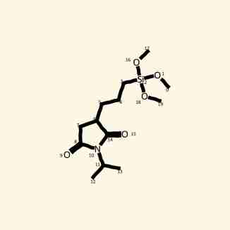 CO[Si](CCCC1CC(=O)N(C(C)C)C1=O)(OC)OC